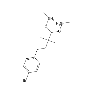 C[SiH2]OC(O[SiH2]C)C(C)(C)CCc1ccc(Br)cc1